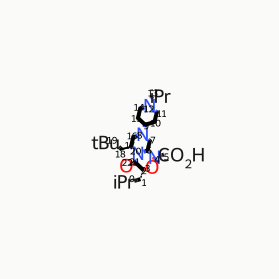 CC(C)C[C@H]1ON(C(=O)O)C2CN(C3CCN(C(C)C)CC3)C[C@H](CC(C)(C)C)N2C1=O